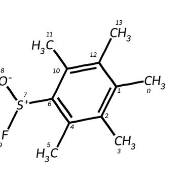 Cc1c(C)c(C)c([S+]([O-])F)c(C)c1C